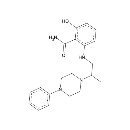 CC(CNc1cccc(O)c1C(N)=O)N1CCN(c2ccccc2)CC1